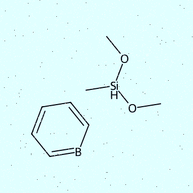 CO[SiH](C)OC.b1ccccc1